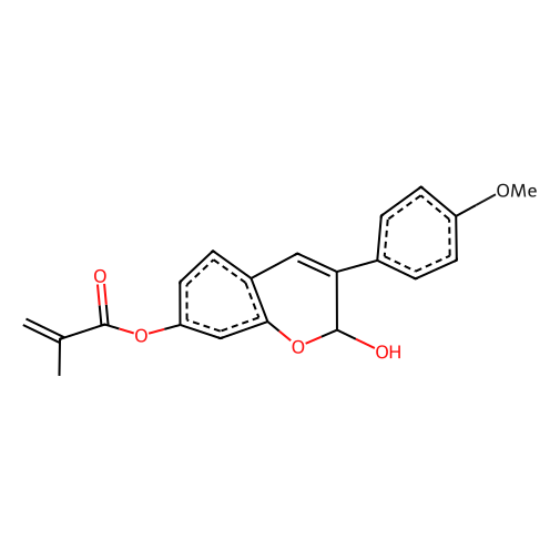 C=C(C)C(=O)Oc1ccc2c(c1)OC(O)C(c1ccc(OC)cc1)=C2